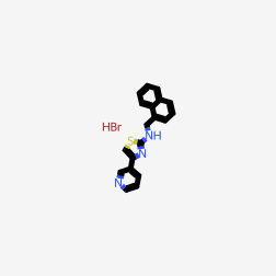 Br.c1cncc(-c2csc(NCc3cccc4ccccc34)n2)c1